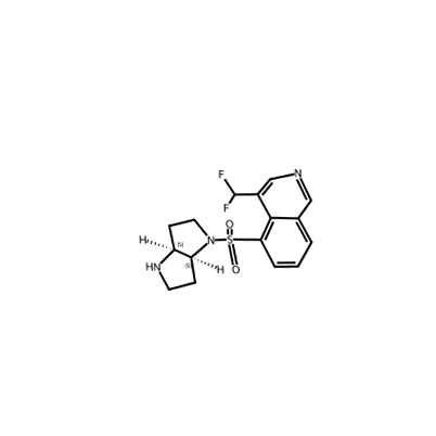 O=S(=O)(c1cccc2cncc(C(F)F)c12)N1CC[C@@H]2NCC[C@@H]21